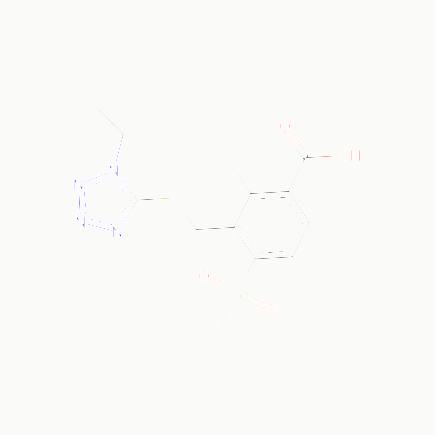 CCn1nnnc1SCc1c(S(C)(=O)=O)ccc(C(=O)O)c1Cl